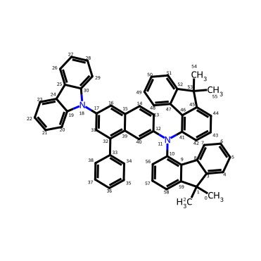 CC1(C)c2ccccc2-c2c(N(c3ccc4cc(-n5c6ccccc6c6ccccc65)cc(-c5ccccc5)c4c3)c3cccc4c3-c3ccccc3C4(C)C)cccc21